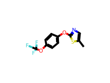 Cc1cnc(Oc2ccc(OC(F)(F)F)cc2)s1